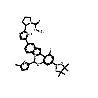 CCc1ccc(C2Oc3cc(B4OC(C)(C)C(C)(C)O4)cc(F)c3-c3cc4cc(-c5cnc(C6CCCN6C(=O)OC(C)(C)C)[nH]5)ccc4n32)s1